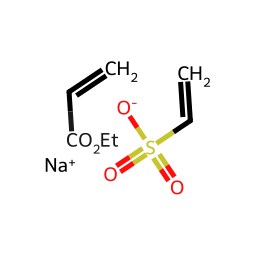 C=CC(=O)OCC.C=CS(=O)(=O)[O-].[Na+]